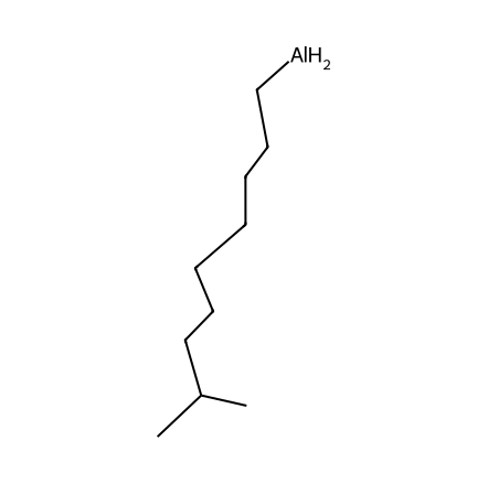 CC(C)CCCCCC[CH2][AlH2]